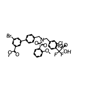 COC(=O)c1cc(Br)cc(-c2ccc(CN(Cc3ccc(C(F)(F)P(=O)(O)O)c(Cl)c3)S(=O)(=O)c3ccccc3OC)cc2)c1